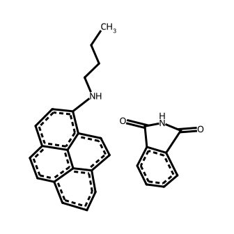 CCCCNc1ccc2ccc3cccc4ccc1c2c34.O=C1NC(=O)c2ccccc21